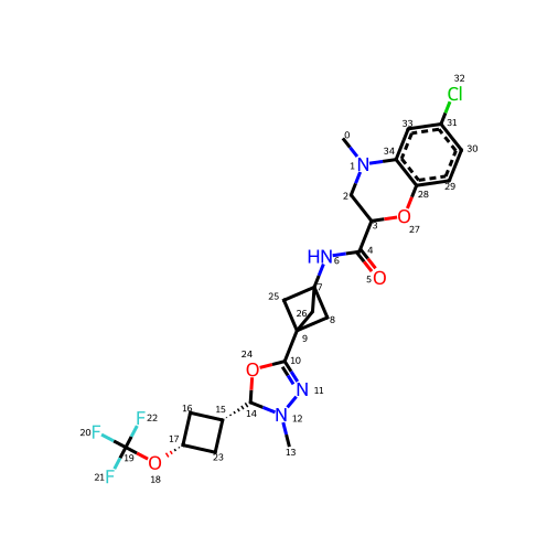 CN1CC(C(=O)NC23CC(C4=NN(C)C([C@H]5C[C@@H](OC(F)(F)F)C5)O4)(C2)C3)Oc2ccc(Cl)cc21